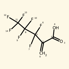 C=C(C(=O)O)C(F)(F)C(F)(F)C(F)(F)F